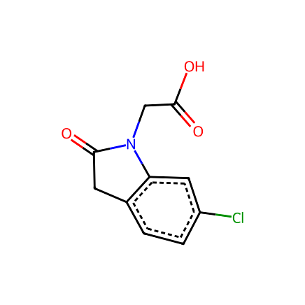 O=C(O)CN1C(=O)Cc2ccc(Cl)cc21